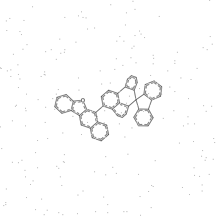 c1ccc2c(c1)-c1ccccc1C21c2ccccc2-c2ccc(-c3c4ccccc4cc4c3oc3ccccc34)c3cccc1c23